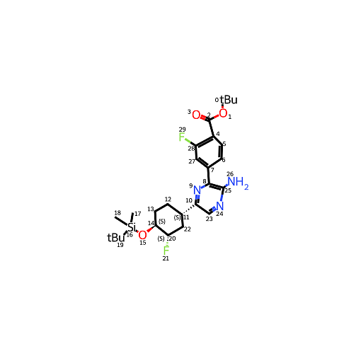 CC(C)(C)OC(=O)c1ccc(-c2nc([C@H]3CC[C@H](O[Si](C)(C)C(C)(C)C)[C@@H](F)C3)cnc2N)cc1F